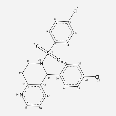 O=S(=O)(c1ccc(Cl)cc1)N1CCc2ncccc2C1c1ccc(Cl)cc1